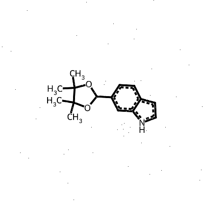 CC1(C)OC(c2ccc3cc[nH]c3c2)OC1(C)C